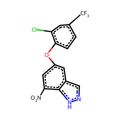 O=[N+]([O-])c1cc(Oc2ccc(C(F)(F)F)cc2Cl)cc2cn[nH]c12